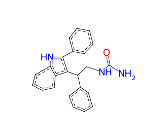 NC(=O)NCC(c1ccccc1)c1c(-c2ccccc2)[nH]c2ccccc12